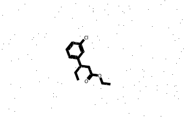 CCOC(=O)CC(CC)c1cccc(Cl)c1